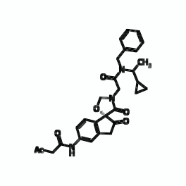 CC(=O)CC(=O)Nc1ccc2c(c1)CC(=O)[C@@]21OCN(CC(=O)N(Cc2ccccc2)C(C)C2CC2)C1=O